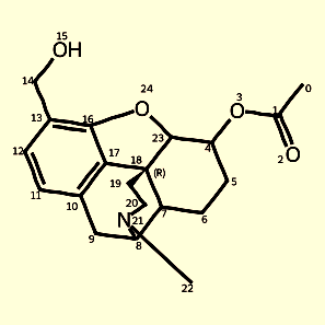 CC(=O)OC1CCC2C3Cc4ccc(CO)c5c4[C@]2(CCN3C)C1O5